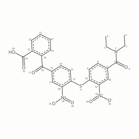 CCN(CC)C(=O)c1ccc(Sc2ccc(C(=O)c3ccccc3C(=O)O)cc2[N+](=O)[O-])c([N+](=O)[O-])c1